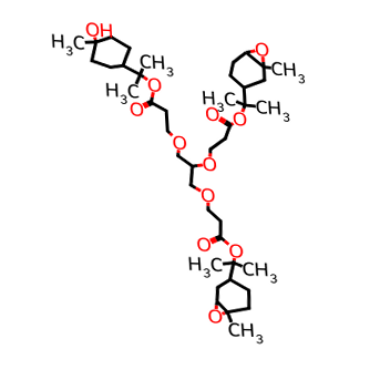 CC1(O)CCC(C(C)(C)OC(=O)CCOCC(COCCC(=O)OC(C)(C)C2CCC3(C)OC3C2)OCCC(=O)OC(C)(C)C2CCC3OC3(C)C2)CC1